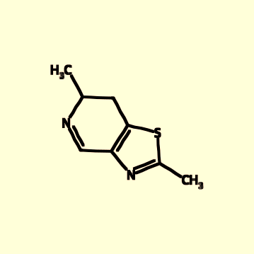 Cc1nc2c(s1)CC(C)N=C2